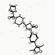 Cc1noc(C)c1-c1ccc(N2CC(N3CCN(C(=O)c4nccs4)CC3)CC2=O)cc1